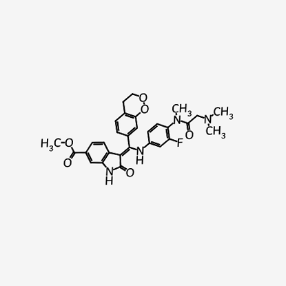 COC(=O)c1ccc2c(c1)NC(=O)/C2=C(\Nc1ccc(N(C)C(=O)CN(C)C)c(F)c1)c1ccc2c(c1)OOCC2